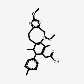 COc1nc2c(s1)CN(SC)C1=C(CC2)C(C)C(c2ccc(C)cc2)C(CC(=O)O)=C1C